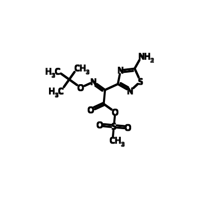 CC(C)(C)O/N=C(\C(=O)OS(C)(=O)=O)c1nsc(N)n1